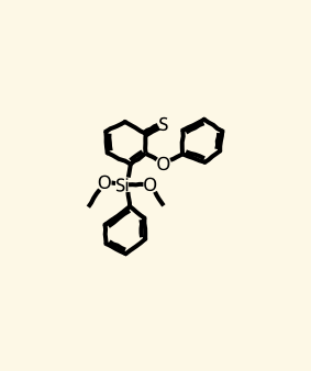 CO[Si](OC)(C1=C(Oc2ccccc2)C(=S)CC=C1)c1ccccc1